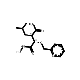 CC(C)C[C@@H](C(N)=O)[C@H](OCc1ccccn1)C(=O)NO